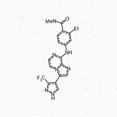 CCc1cc(Nc2nccn3c(-c4c[nH]nc4C(F)(F)F)cnc23)ccc1C(=O)NC